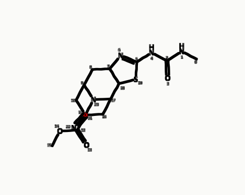 CNC(=O)NC1=NC2CC3CN(C(=O)OC)CC(C2S1)N3C#N